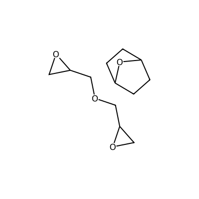 C(OCC1CO1)C1CO1.C1CC2CCC1O2